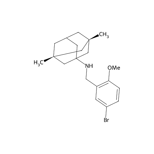 COc1ccc(Br)cc1CNC12CC3C[C@@](C)(C1)C[C@](C)(C3)C2